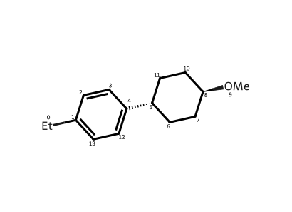 CCc1ccc([C@H]2CC[C@H](OC)CC2)cc1